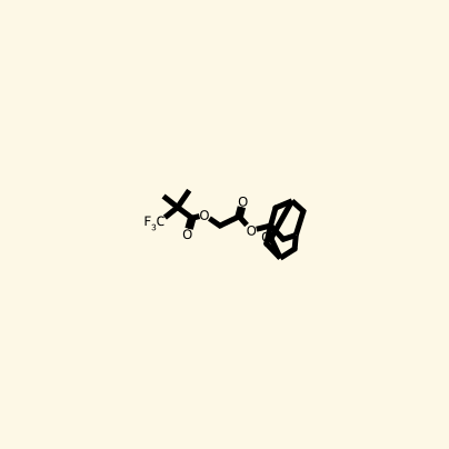 CC(C)(C(=O)OCC(=O)OC12CC3CC(C1)C(=O)C(C3)C2)C(F)(F)F